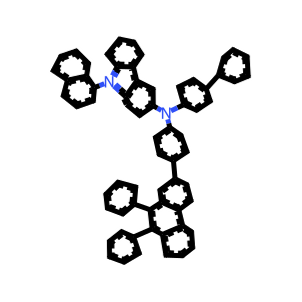 c1ccc(-c2ccc(N(c3ccc(-c4ccc5c(c4)c(-c4ccccc4)c(-c4ccccc4)c4ccccc45)cc3)c3ccc4c(c3)c3ccccc3n4-c3cccc4ccccc34)cc2)cc1